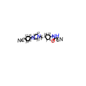 N#CCC(=O)N[C@H]1CC[C@H](CCN2CCN(c3ccc(C#N)cc3)CC2)CC1